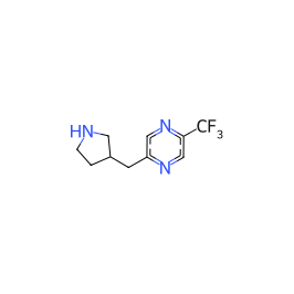 FC(F)(F)c1cnc(CC2CCNC2)cn1